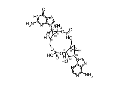 CO[C@H]1[C@H]2O[PH](=O)OC[C@@]34C[C@@H]3[C@@H](n3cnc5c(N)ncnc53)[C@H](O)[C@@H]4OP(=O)(O)OC[C@H]1O[C@H]2n1cnc2c(=O)[nH]c(N)nc21